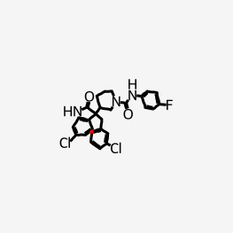 O=C(Nc1ccc(F)cc1)N1CCCC(C2(Cc3cccc(Cl)c3)C(=O)Nc3cc(Cl)ccc32)C1